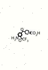 Nc1ccc(C(=O)C2CCN(C(=O)O)CC2)cc1C(=O)C(F)(F)F